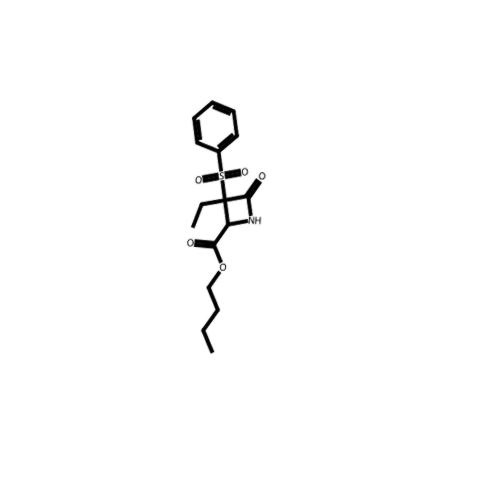 CCCCOC(=O)C1NC(=O)C1(CC)S(=O)(=O)c1ccccc1